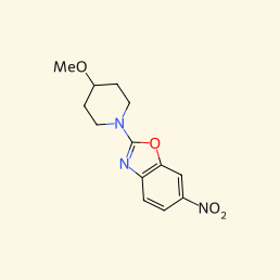 COC1CCN(c2nc3ccc([N+](=O)[O-])cc3o2)CC1